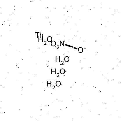 O.O.O.O.O=[N+]([O-])[O-].[Th]